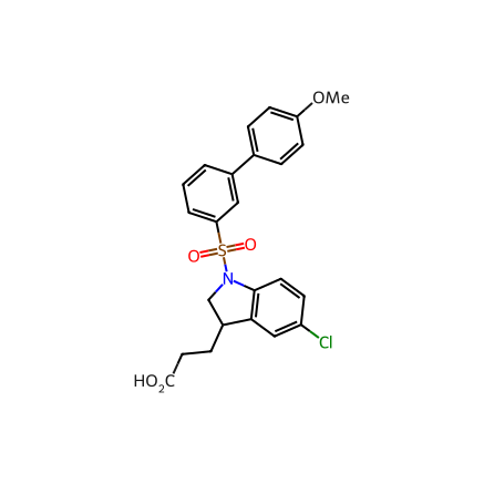 COc1ccc(-c2cccc(S(=O)(=O)N3CC(CCC(=O)O)c4cc(Cl)ccc43)c2)cc1